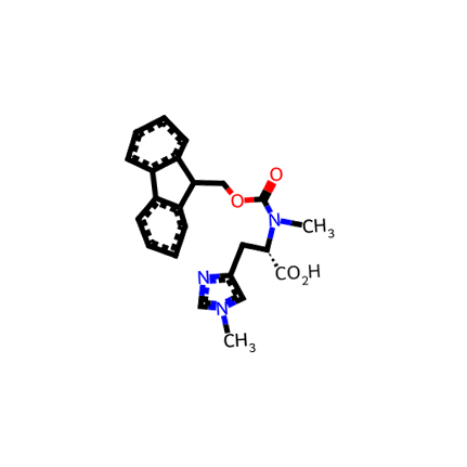 CN(C(=O)OCC1c2ccccc2-c2ccccc21)[C@@H](Cc1cn(C)cn1)C(=O)O